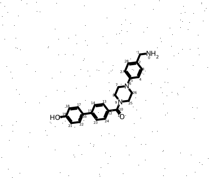 NCc1ccc(N2CCN(C(=O)c3ccc(-c4ccc(O)cc4)cc3)CC2)cc1